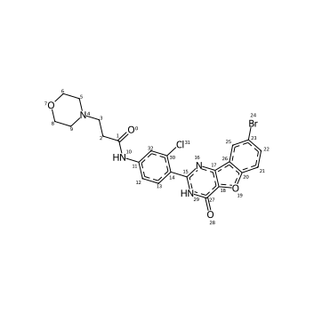 O=C(CCN1CCOCC1)Nc1ccc(-c2nc3c(oc4ccc(Br)cc43)c(=O)[nH]2)c(Cl)c1